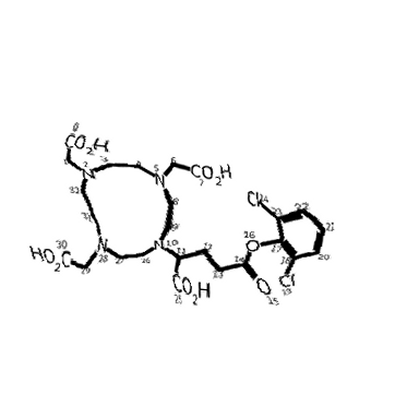 O=C(O)CN1CCN(CC(=O)O)CCN(C(CCC(=O)Oc2c(Cl)cccc2Cl)C(=O)O)CCN(CC(=O)O)CC1